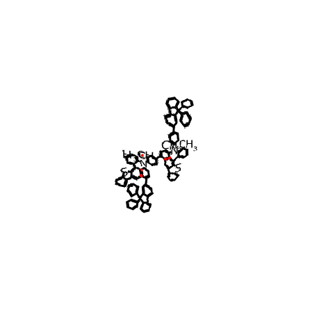 Cc1cc(-c2ccc(N(c3ccc(-c4ccc5c(c4)C(c4ccccc4)(c4ccccc4)c4ccccc4-5)cc3)c3c(C)cccc3-c3cccc4c3sc3ccccc34)c(C)c2)ccc1N(c1ccc(-c2ccc3c(c2)C(c2ccccc2)(c2ccccc2)c2ccccc2-3)cc1)c1c(C)cccc1-c1cccc2c1sc1ccccc12